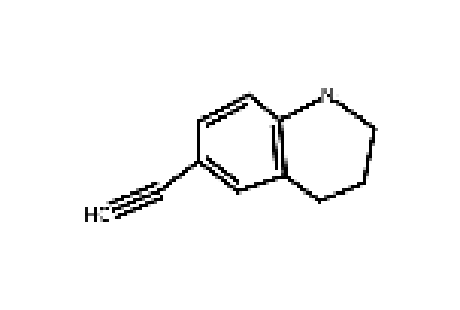 C#Cc1ccc2c(c1)CCC[N]2